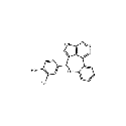 Oc1ccc(C2Nc3ccccc3-c3cnnc4[nH]cc2c34)cc1C(F)(F)F